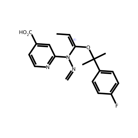 C=NN(/C(=C\C)OC(C)(C)c1ccc(F)cc1)c1cc(C(=O)O)ccn1